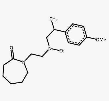 CCN(CCN1CCCCCC1=O)CC(C)c1ccc(OC)cc1